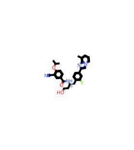 Cc1cccn2cc(-c3ccc(C[C@@H](CCO)NC(=O)c4ccc(OC(C)C)c(C#N)c4)c(F)c3)nc12